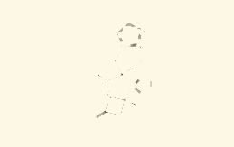 Br.C[C@]1(Cn2ccnn2)[C@H](C(=O)O)N2C(=O)C[C@H]2S1(=O)=O